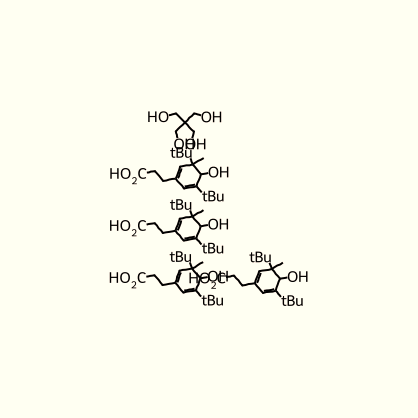 CC(C)(C)C1=CC(CCC(=O)O)=CC(C)(C(C)(C)C)C1O.CC(C)(C)C1=CC(CCC(=O)O)=CC(C)(C(C)(C)C)C1O.CC(C)(C)C1=CC(CCC(=O)O)=CC(C)(C(C)(C)C)C1O.CC(C)(C)C1=CC(CCC(=O)O)=CC(C)(C(C)(C)C)C1O.OCC(CO)(CO)CO